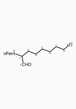 CCCCCC(C=O)CCCCCCCl